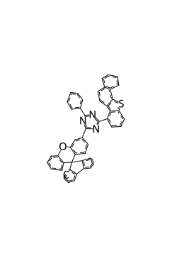 c1ccc(-c2nc(-c3ccc4c(c3)Oc3ccccc3C43c4ccccc4-c4ccccc43)nc(-c3cccc4sc5c6ccccc6ccc5c34)n2)cc1